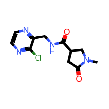 CN1CC(C(=O)NCc2nccnc2Cl)CC1=O